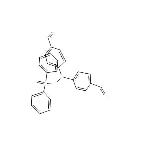 C=Cc1ccc(B(OP(=O)(c2ccccc2)c2ccccc2)c2ccc(C=C)cc2)cc1